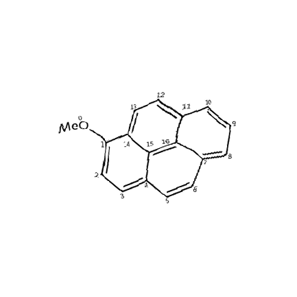 COc1ccc2ccc3cc[c]c4ccc1c2c43